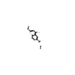 CCOC(=O)c1ccc2nc(CC)cc(N)c2c1